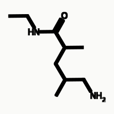 CCNC(=O)C(C)CC(C)CN